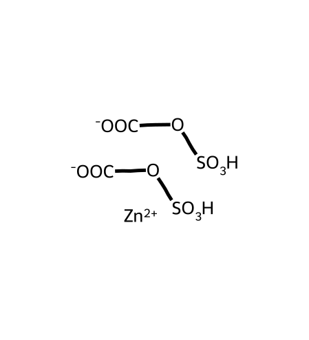 O=C([O-])OS(=O)(=O)O.O=C([O-])OS(=O)(=O)O.[Zn+2]